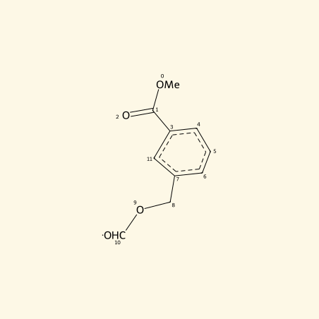 COC(=O)c1cccc(CO[C]=O)c1